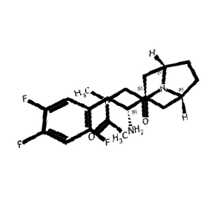 CC(=O)N(C)CC(=O)N1[C@@H]2CC[C@H]1C[C@H]([C@H](N)Cc1cc(F)c(F)cc1F)C2